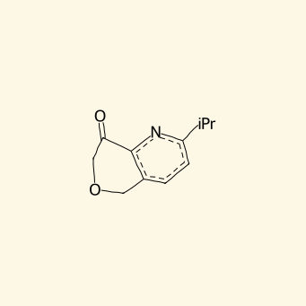 CC(C)c1ccc2c(n1)C(=O)COC2